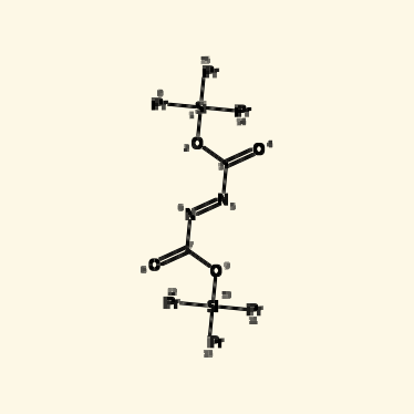 CC(C)[Si](OC(=O)/N=N/C(=O)O[Si](C(C)C)(C(C)C)C(C)C)(C(C)C)C(C)C